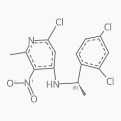 Cc1nc(Cl)cc(N[C@H](C)c2ccc(Cl)cc2Cl)c1[N+](=O)[O-]